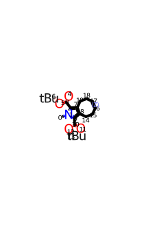 Cn1c(C(=O)OC(C)(C)C)c2c(c1C(=O)OC(C)(C)C)CC/C=C\CC2